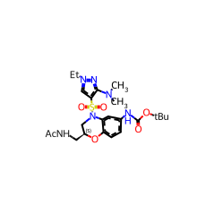 CCn1cc(S(=O)(=O)N2C[C@H](CNC(C)=O)Oc3ccc(NC(=O)OC(C)(C)C)cc32)c(N(C)C)n1